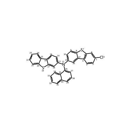 Clc1ccc2c(c1)sc1ccc(N(c3ccc4c(c3)sc3ccccc34)c3cccc4ccccc34)cc12